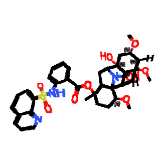 CO[C@H]1C[C@]2(O)C3CC4C(C)(OC(=O)c5ccccc5NS(=O)(=O)c5cccc6cccnc56)CC[C@H](OC)C4(C4C[C@H]1[C@H](OC)[C@@]42O)N3C